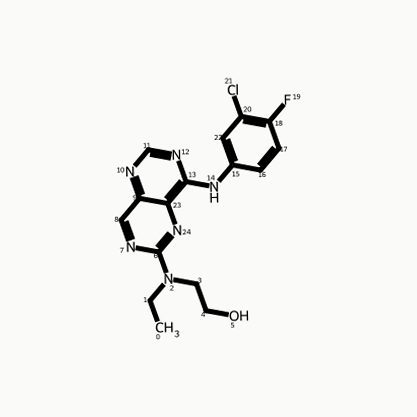 CCN(CCO)c1ncc2ncnc(Nc3ccc(F)c(Cl)c3)c2n1